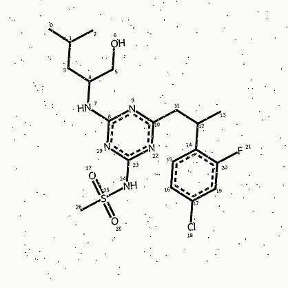 CC(C)CC(CO)Nc1nc(CC(C)c2ccc(Cl)cc2F)nc(NS(C)(=O)=O)n1